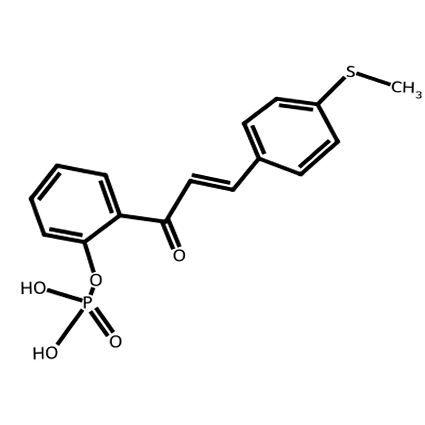 CSc1ccc(C=CC(=O)c2ccccc2OP(=O)(O)O)cc1